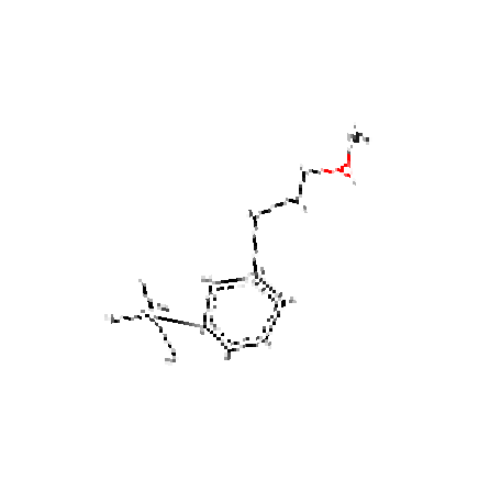 CCCOCCCc1cccc([Si](C)(C)C)c1